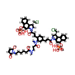 CN(CCC(=O)N(C)c1cc(/C=C/C(=O)N2C[C@@H](CCl)c3c2cc(OP(=O)(O)O)c2ccccc32)ccc1/C=C/C(=O)N1C[C@@H](CCl)c2c1cc(OP(=O)(O)O)c1ccccc21)C(=O)CCCCCN1C(=O)C=CC1=O